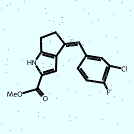 COC(=O)c1cc2c([nH]1)CC/C2=C/c1ccc(F)c(Cl)c1